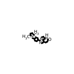 CC1C=CC(C)N1Cc1ccc(C2=NC=C3C=CC(=O)NC4=C3N2CC4)cc1